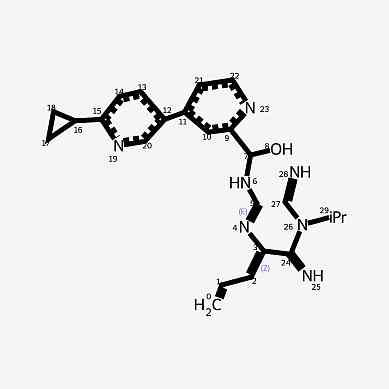 C=C/C=C(\N=C\NC(O)c1cc(-c2ccc(C3CC3)nc2)ccn1)C(=N)N(C=N)C(C)C